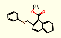 COC(=O)c1c(CSc2ccccc2)ccc2ccccc12